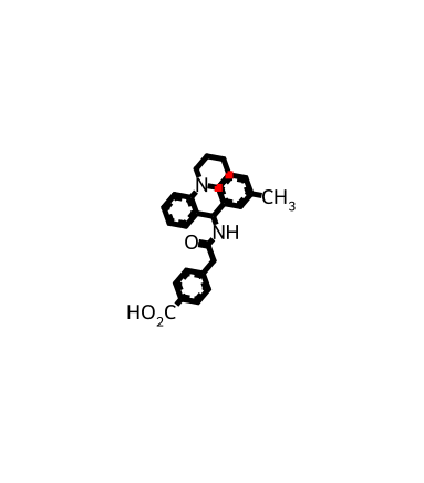 Cc1cccc(C(NC(=O)Cc2ccc(C(=O)O)cc2)c2ccccc2N2CCCCC2)c1